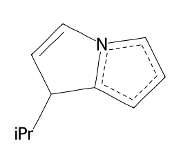 CC(C)C1C=Cn2cccc21